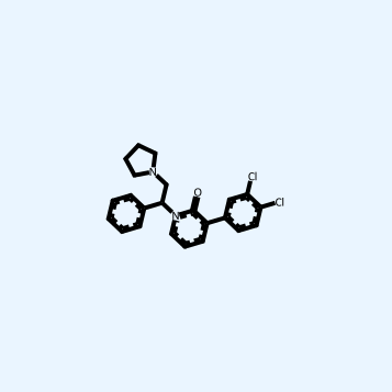 O=c1c(-c2ccc(Cl)c(Cl)c2)cccn1C(CN1CCCC1)c1ccccc1